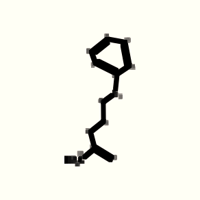 C=C(CCCSc1ccccc1)C(=O)O